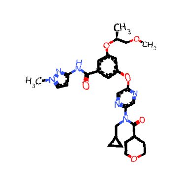 COC[C@H](C)Oc1cc(Oc2cnc(N(CC3CC3)C(=O)C3CCOCC3)cn2)cc(C(=O)Nc2ccn(C)n2)c1